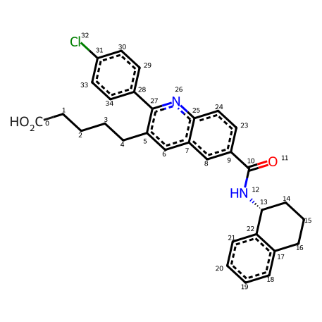 O=C(O)CCCCc1cc2cc(C(=O)N[C@@H]3CCCc4ccccc43)ccc2nc1-c1ccc(Cl)cc1